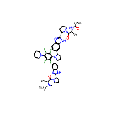 COC(=O)N[C@H](C(=O)N1CCC[C@H]1c1nc2ccc([C@H]3CC[C@H](c4ccc5nc([C@@H]6CCCN6C(=O)[C@H](C(C)C)N(C)C(=O)O)[nH]c5c4)N3c3c(F)c(F)c(N4CCCCC4)c(F)c3F)cc2[nH]1)C(C)C